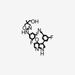 CC1(CO)CN=C(Nc2cc(F)c(Oc3ccnc4[nH]cc(-c5cc(F)cc(C#N)c5)c34)c(F)c2)OC1